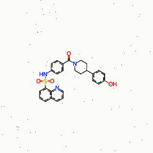 O=C(c1ccc(NS(=O)(=O)c2cccc3cccnc23)cc1)N1CCC(c2ccc(O)cc2)CC1